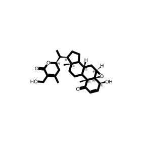 CC1=C(CO)C(=O)O[C@@H](C(C)[C@H]2CCC3[C@@H]4C[C@H]5O[C@]56[C@@H](O)C=CC(=O)[C@]6(C)C4CC[C@@]32C)C1